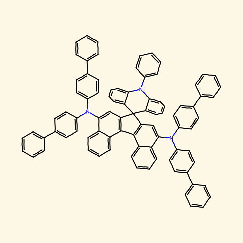 c1ccc(-c2ccc(N(c3ccc(-c4ccccc4)cc3)c3cc4c(c5ccccc35)-c3c(cc(N(c5ccc(-c6ccccc6)cc5)c5ccc(-c6ccccc6)cc5)c5ccccc35)C43c4ccccc4N(c4ccccc4)c4ccccc43)cc2)cc1